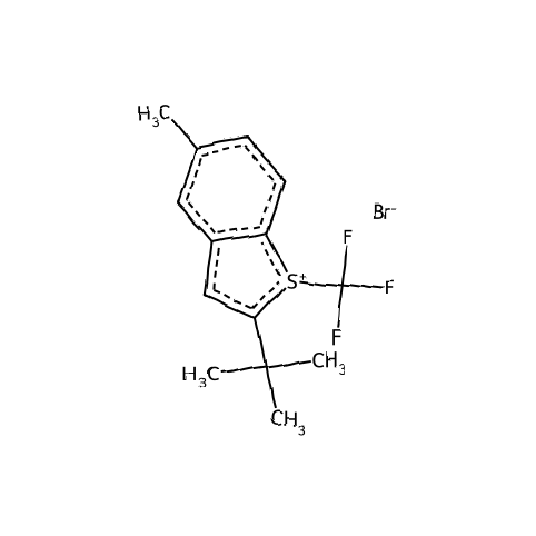 Cc1ccc2c(c1)cc(C(C)(C)C)[s+]2C(F)(F)F.[Br-]